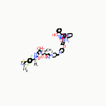 Cc1ncsc1-c1cc(F)c([C@H](C)NC(=O)[C@@H]2C[C@@H](O)CN2C(=O)[C@H](c2cc(N3CCC(CN4CCC(O[C@H]5C[C@H](Oc6cc(N7C8CCC7CN(c7cc(-c9ccccc9O)nnc7N)C8)ccn6)C5)CC4)CC3)no2)C(C)C)cc1F